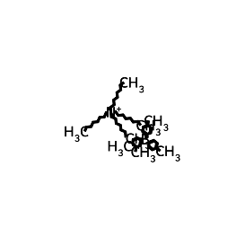 CCCCCCCC[N+](CCCCCCCC)(CCCCCCCC)CCCCCCCC.Cc1ccc(B(c2ccc(C)cc2)c2ccc(C)c(C)c2)cc1